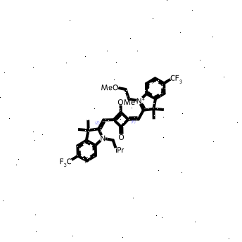 COCC[N+]1=C(/C=C2/C(=O)C(/C=C3\N(CC(C)C)c4ccc(C(F)(F)F)cc4C3(C)C)=C2OC)C(C)(C)c2cc(C(F)(F)F)ccc21